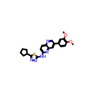 COc1ccc(-c2cnc3ccc(Nc4nnc(C5CCCC5)s4)nc3c2)cc1OC